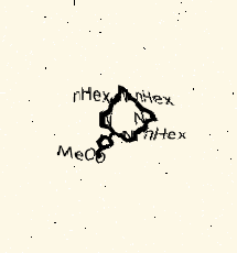 CCCCCCC1=C2C=CC(=N2)C(CCCCCC)=C2C=CC(=N2)C(c2ccc(C(=O)OC)cc2)=C2C=CC(=N2)C(CCCCCC)=C2C=CC1=N2